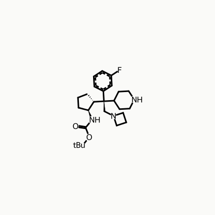 CC(C)(C)OC(=O)N[C@H]1CCC[C@@H]1[C@](CN1CCC1)(c1cccc(F)c1)C1CCNCC1